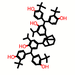 CC(C)c1cc(C23CC4CC(C2)CC(c2cc(C(C)C)c(O)c(C(c5ccc(O)c(C(C)(C)C)c5)c5ccc(O)c(C(C)(C)C)c5)c2)(C4)C3)cc(C(c2ccc(O)c(C(C)(C)C)c2)c2ccc(O)c(C(C)(C)C)c2)c1O